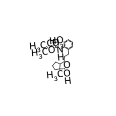 CC(C)(C)OC(=O)Nc1c(O)cccc1CCCC1CCCC1(C)C(=O)O